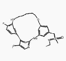 CCN=S(C)(=O)Cc1cc2cc(c1)OCCCCNc1cc(ccc1F)-c1nc(ncc1F)N2